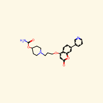 NC(=O)OC1CCN(CCCOc2cc(=O)oc3cc(-c4cccnc4)ccc23)CC1